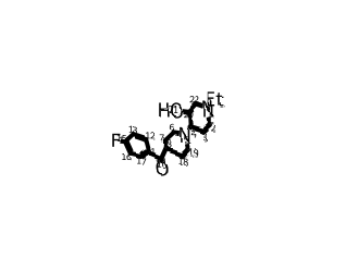 CCN1CCC(N2CCC(C(=O)c3ccc(F)cc3)CC2)C(O)C1